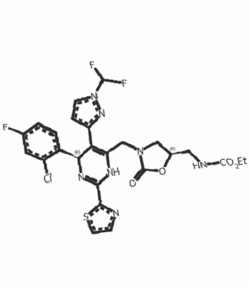 CCOC(=O)NC[C@@H]1CN(CC2=C(c3ccn(C(F)F)n3)[C@H](c3ccc(F)cc3Cl)N=C(c3nccs3)N2)C(=O)O1